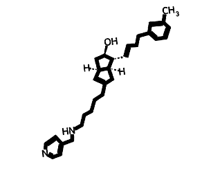 Cc1cccc(CC/C=C/[C@@H]2[C@H]3CC(CCCCCNCc4ccncc4)=C[C@H]3C[C@H]2O)c1